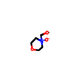 [O]C[N+]1([O-])CCOCC1